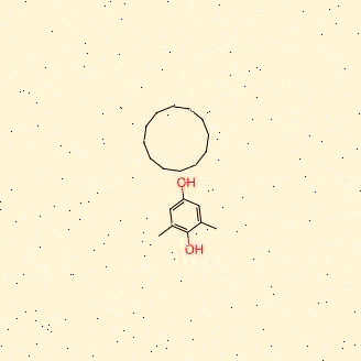 C1CCCCCCCCCCC1.Cc1cc(O)cc(C)c1O